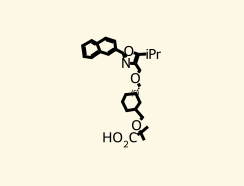 CC(C)c1oc(-c2ccc3ccccc3c2)nc1COC[C@H]1CCCC(COC(C)(C)C(=O)O)C1